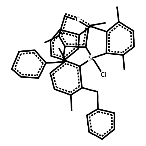 Cc1ccc(C)c([Si](Cl)(c2c(C)ccc(C)c2Cc2ccccc2)c2c(C)ccc(C)c2Cc2ccccc2)c1Cc1ccccc1